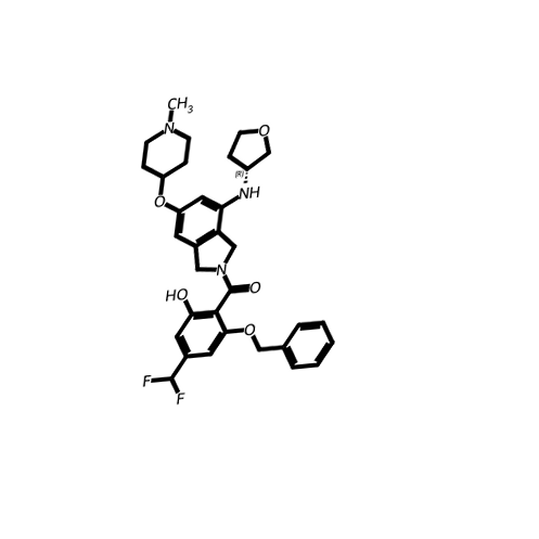 CN1CCC(Oc2cc3c(c(N[C@@H]4CCOC4)c2)CN(C(=O)c2c(O)cc(C(F)F)cc2OCc2ccccc2)C3)CC1